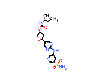 CC[C@H](C)NC(=O)O[C@@H]1CO[C@H](c2cnc(Nc3cncc(S(N)(=O)=O)c3)nc2)C1